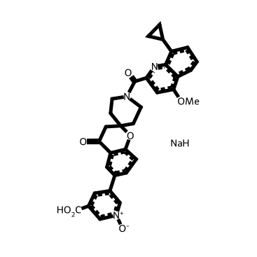 COc1cc(C(=O)N2CCC3(CC2)CC(=O)c2cc(-c4cc(C(=O)O)c[n+]([O-])c4)ccc2O3)nc2c(C3CC3)cccc12.[NaH]